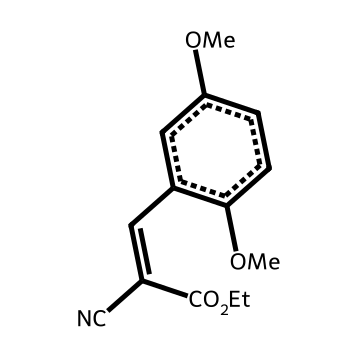 CCOC(=O)/C(C#N)=C\c1cc(OC)ccc1OC